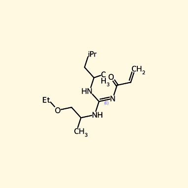 C=CC(=O)/N=C(/NC(C)COCC)NC(C)CC(C)C